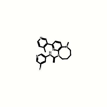 C=C(Nc1cncc(F)c1)N1CCCCN(C)c2ccc(-c3cnccc3C)nc21